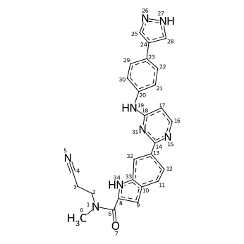 CN(CCC#N)C(=O)c1cc2ccc(-c3nccc(Nc4ccc(-c5cn[nH]c5)cc4)n3)cc2[nH]1